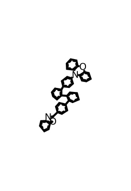 c1ccc2c(c1)Oc1ccccc1N2c1ccc(-c2ccccc2-c2ccccc2-c2ccc(-c3nc4ccccc4o3)cc2)cc1